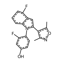 Cc1noc(C)c1-c1cc2c(F)cccc2n1-c1ccc(O)cc1F